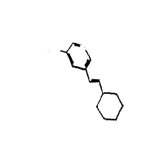 O=Cc1cncc(/C=C/C2CCCCC2)c1